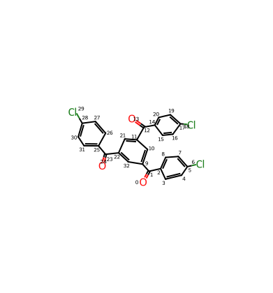 O=C(c1ccc(Cl)cc1)c1cc(C(=O)c2ccc(Cl)cc2)cc(C(=O)c2ccc(Cl)cc2)c1